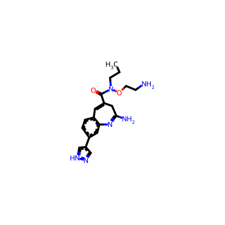 CCCN(OCCN)C(=O)C1=Cc2ccc(-c3cn[nH]c3)cc2N=C(N)C1